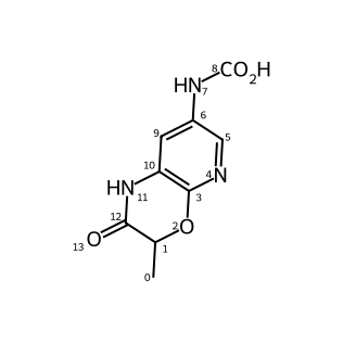 CC1Oc2ncc(NC(=O)O)cc2NC1=O